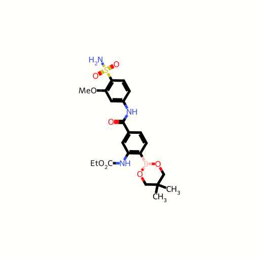 CCOC(=O)Nc1cc(C(=O)Nc2ccc(S(N)(=O)=O)c(OC)c2)ccc1B1OCC(C)(C)CO1